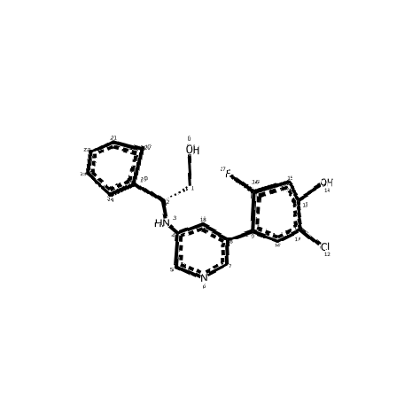 OC[C@H](Nc1cncc(-c2cc(Cl)c(O)cc2F)c1)c1ccccc1